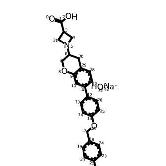 O=C(O)C1CN(C2COc3cc(-c4ccc(OCc5ccc(Cl)cc5)cc4)ccc3C2)C1.[Na+].[OH-]